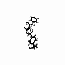 Cc1nc(-c2ccc(C(F)(F)F)cc2)oc1C(=O)Cc1ccccc1